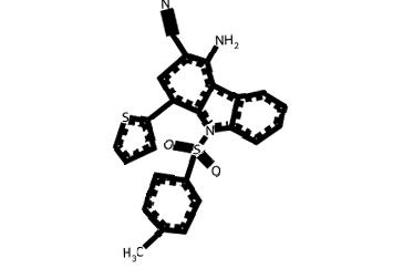 Cc1ccc(S(=O)(=O)n2c3ccccc3c3c(N)c(C#N)cc(-c4cccs4)c32)cc1